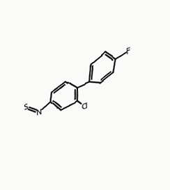 Fc1ccc(-c2ccc(N=S)cc2Cl)cc1